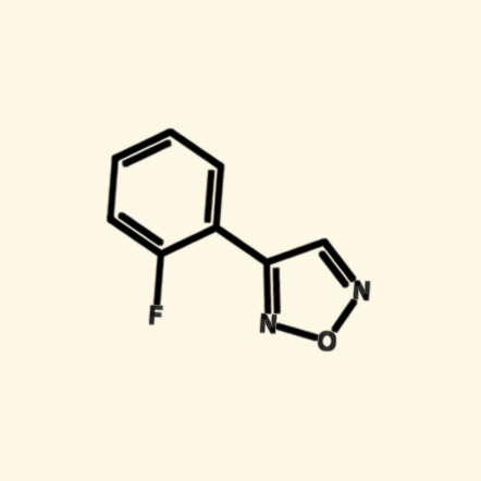 Fc1ccccc1-c1cnon1